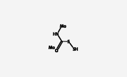 O=C([NH][Mo])SS.[Mo]